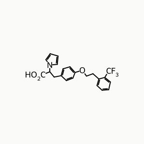 O=C(O)C(Cc1ccc(OCCc2ccccc2C(F)(F)F)cc1)n1cccc1